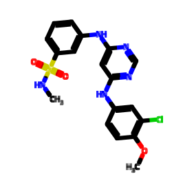 CNS(=O)(=O)c1cccc(Nc2cc(Nc3ccc(OC)c(Cl)c3)ncn2)c1